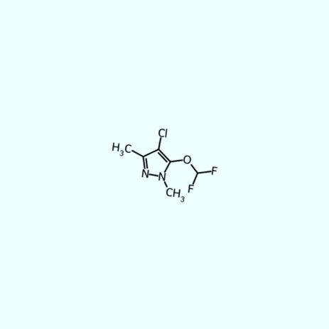 Cc1nn(C)c(OC(F)F)c1Cl